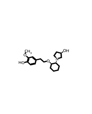 COc1cc(CCO[C@@H]2CCCC[C@H]2N2CC[C@@H](O)C2)ccc1O